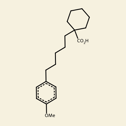 COc1ccc(CCCCCC2(C(=O)O)CCCCC2)cc1